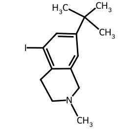 CN1CCc2c(I)cc(C(C)(C)C)cc2C1